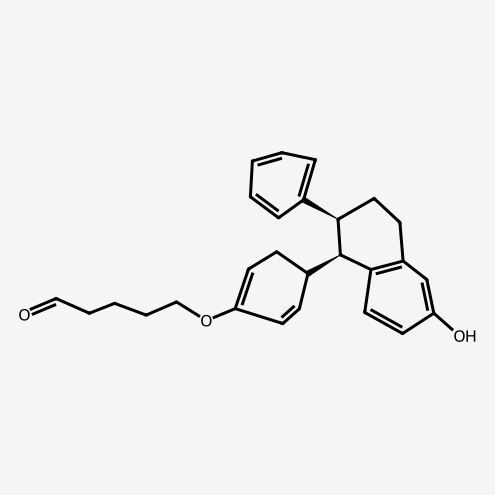 O=CCCCCOC1=CCC([C@@H]2c3ccc(O)cc3CC[C@@H]2c2ccccc2)C=C1